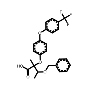 CC(OCc1ccccc1)C(C)(Oc1ccc(Oc2ccc(C(F)(F)F)cc2)cc1)C(=O)O